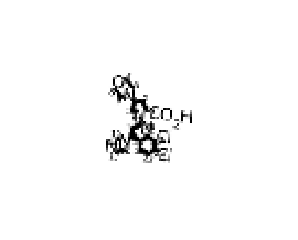 O=C(O)[C@@H]1C[C@@H](N2CCOCC2)CN1c1cc(-n2ccnc2)c2ccc(Cl)c(Cl)c2n1